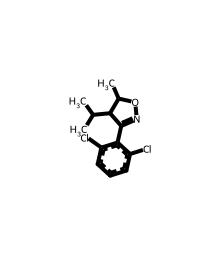 CC(C)C1C(c2c(Cl)cccc2Cl)=NOC1C